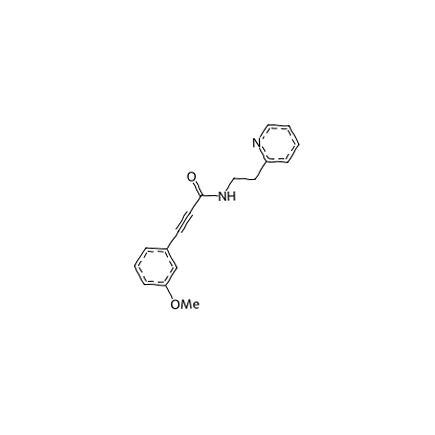 COc1cccc(C#CC(=O)NCCc2ccccn2)c1